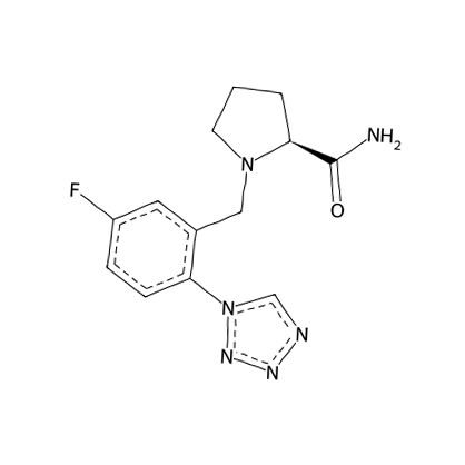 NC(=O)[C@@H]1CCCN1Cc1cc(F)ccc1-n1cnnn1